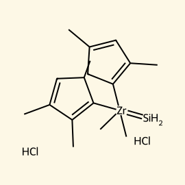 CC1=CC(C)=[C]([Zr]([CH3])([CH3])(=[SiH2])[C]2=C(C)C(C)=CC2C)C1.Cl.Cl